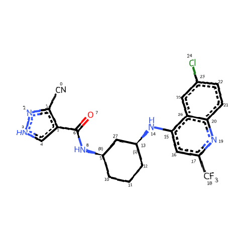 N#Cc1n[nH]cc1C(=O)N[C@@H]1CCC[C@H](Nc2cc(C(F)(F)F)nc3ccc(Cl)cc23)C1